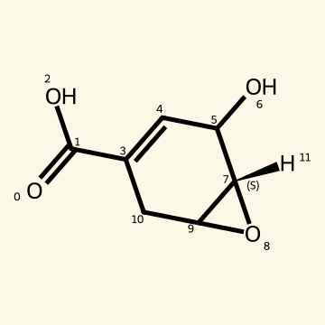 O=C(O)C1=CC(O)[C@@H]2OC2C1